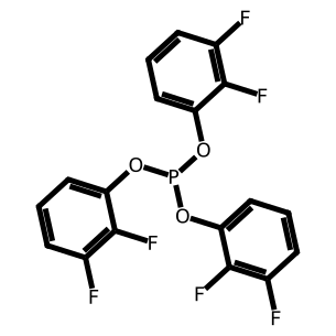 Fc1cccc(OP(Oc2cccc(F)c2F)Oc2cccc(F)c2F)c1F